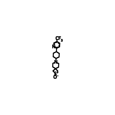 [O-][S+]1CC2(CCN(C3CCC(c4ccc(C(F)(F)F)cn4)CC3)CC2)C1